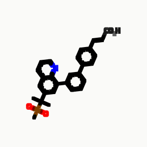 CC(C)(c1cc(-c2cccc(-c3ccc(C=CC(=O)O)cc3)c2)c2ncccc2c1)S(C)(=O)=O